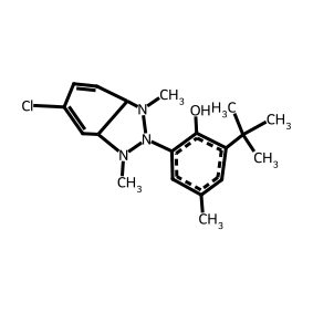 Cc1cc(N2N(C)C3C=CC(Cl)=CC3N2C)c(O)c(C(C)(C)C)c1